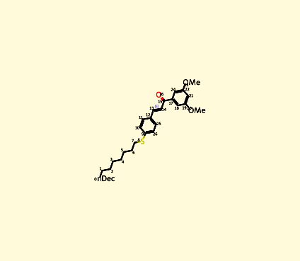 CCCCCCCCCCCCCCCCCSc1ccc(/C=C/C(=O)c2cc(OC)cc(OC)c2)cc1